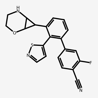 N#Cc1ccc(-c2cccc(C3C4NCCOC43)c2-c2ccns2)cc1F